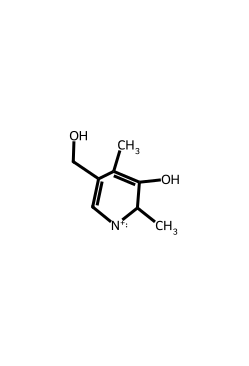 CC1=C(O)C(C)[N+]C=C1CO